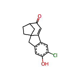 O=C1C=C2c3cc(Cl)c(O)cc3CC23CCC1C3